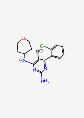 Nc1nc(NC2CCOCC2)c(N=O)c(-c2ccccc2Cl)n1